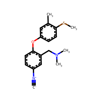 [C-]#[N+]c1ccc(Oc2ccc(SC)c(C)c2)c(CN(C)C)c1